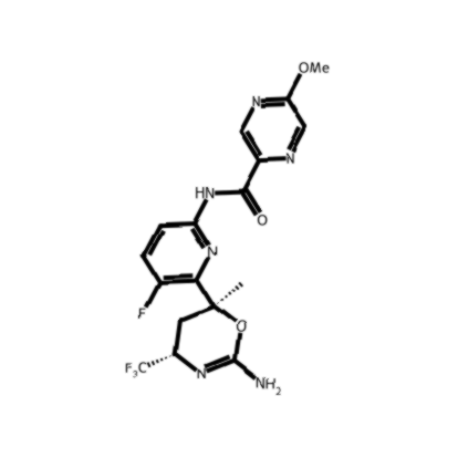 COc1cnc(C(=O)Nc2ccc(F)c([C@]3(C)C[C@@H](C(F)(F)F)N=C(N)O3)n2)cn1